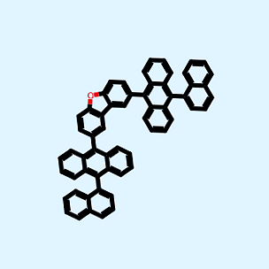 c1ccc2c(-c3c4ccccc4c(-c4ccc5oc6ccc(-c7c8ccccc8c(-c8cccc9ccccc89)c8ccccc78)cc6c5c4)c4ccccc34)cccc2c1